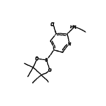 CNc1ncc(B2OC(C)(C)C(C)(C)O2)cc1Cl